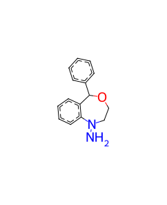 NN1CCOC(c2ccccc2)c2ccccc21